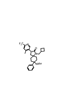 CNC1(c2ccccc2)CCC2(CC1)CN(c1cnc(C(F)(F)F)cc1C)C(=O)N2CC1CCC1